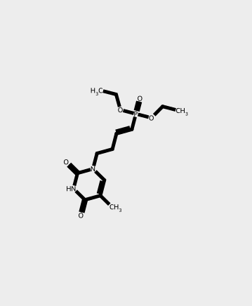 CCOP(=O)(/C=C/CCn1cc(C)c(=O)[nH]c1=O)OCC